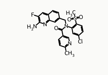 Cc1ccc(C(=O)N(Cc2ccc3cc(F)c(N)nc3c2)c2cc(Cl)ccc2S(C)(=O)=O)cn1